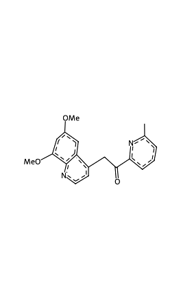 COc1cc(OC)c2nccc(CC(=O)c3cccc(C)n3)c2c1